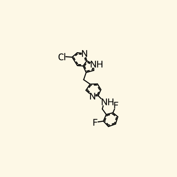 Fc1cccc(F)c1CNc1ccc(Cc2c[nH]c3ncc(Cl)cc23)cn1